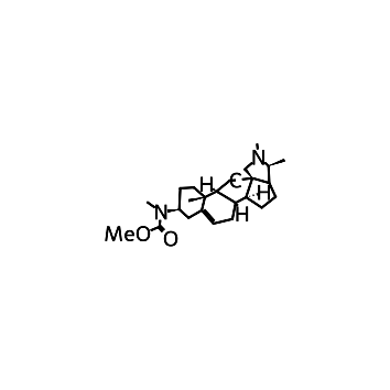 COC(=O)N(C)[C@H]1CC[C@@]2(C)C(=CC[C@H]3[C@@H]4CCC5[C@H](C)N(C)C[C@@]54CC[C@@H]32)C1